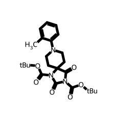 Cc1ccccc1N1CCC2(CC1)C(=O)N(C(=O)OC(C)(C)C)C(=O)N2C(=O)OC(C)(C)C